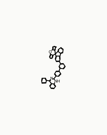 c1ccc(C2=NC(c3ccc(-c4cccc(-c5ccc6c(c5)-c5ccccc5C65c6ccccc6Oc6ccccc65)c4)cc3)Nc3ccccc32)cc1